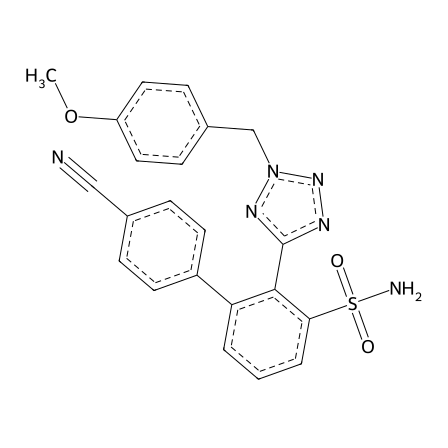 COc1ccc(Cn2nnc(-c3c(-c4ccc(C#N)cc4)cccc3S(N)(=O)=O)n2)cc1